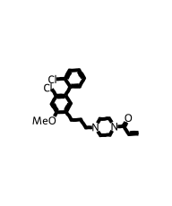 C=CC(=O)N1CCN(CCCc2cc(-c3ccccc3Cl)c(Cl)cc2OC)CC1